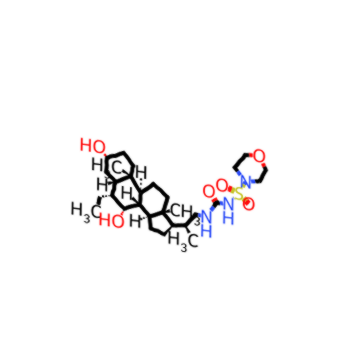 CC[C@H]1[C@@H](O)[C@@H]2[C@H](CC[C@]3(C)[C@@H]([C@H](C)CNC(=O)NS(=O)(=O)N4CCOCC4)CC[C@@H]23)[C@@]2(C)CC[C@@H](O)C[C@@H]12